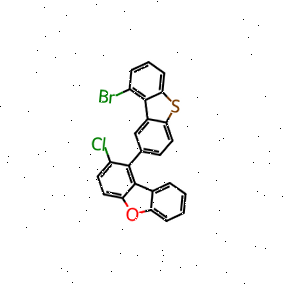 Clc1ccc2oc3ccccc3c2c1-c1ccc2sc3cccc(Br)c3c2c1